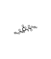 CC(NC(=O)OC(C)(C)C)[C@H]1C[C@H](NC(=O)OC(C)(C)C)CC(=O)O1